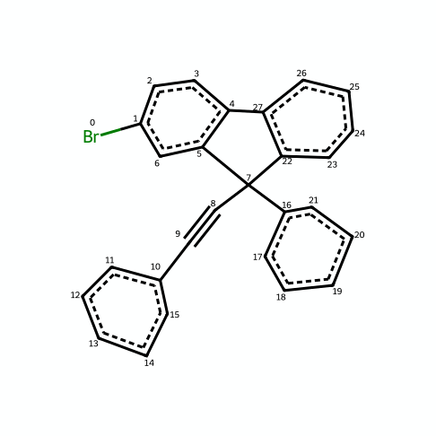 Brc1ccc2c(c1)C(C#Cc1ccccc1)(c1ccccc1)c1ccccc1-2